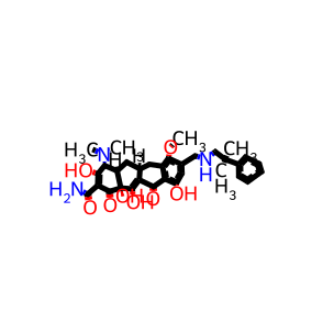 COc1c(CNCC(C)(C)c2ccccc2)cc(O)c2c1C[C@H]1C[C@H]3[C@H](N(C)C)C(O)=C(C(N)=O)C(=O)[C@@]3(O)C(O)=C1C2=O